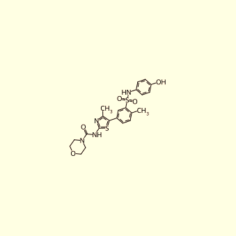 Cc1ccc(-c2sc(NC(=O)N3CCOCC3)nc2C)cc1S(=O)(=O)Nc1ccc(O)cc1